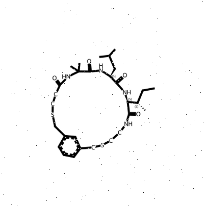 CC[C@H](C)[C@@H]1NC(=O)[C@H](CC(C)C)NC(=O)C(C)(C)NC(=O)CCSCc2cccc(c2)CSCCNC1=O